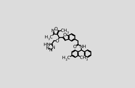 Cc1ccc(C(NC(=O)Cc2ccc3oc(C(OCc4nnn[nH]4)c4c(C)noc4C)cc3c2)c2ccccc2)c(C)c1